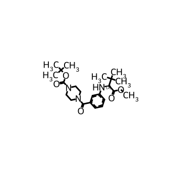 COC(=O)[C@@H](Nc1cccc(C(=O)N2CCN(C(=O)OC(C)(C)C)CC2)c1)C(C)(C)C